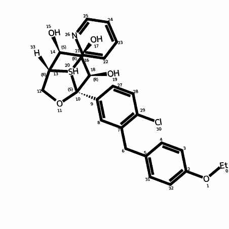 CCOc1ccc(Cc2cc([C@@]34OC[C@H]([C@@H](O)[C@@H](O)[C@H]3O)[SH]4c3ccccn3)ccc2Cl)cc1